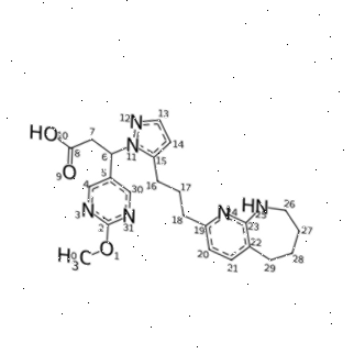 COc1ncc(C(CC(=O)O)n2nccc2CCCc2ccc3c(n2)NCCCC3)cn1